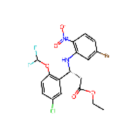 CCOC(=O)C[C@@H](Nc1cc(Br)ccc1[N+](=O)[O-])c1cc(Cl)ccc1OC(F)F